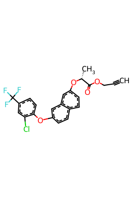 C#CCOC(=O)[C@@H](C)Oc1ccc2ccc(Oc3ccc(C(F)(F)F)cc3Cl)cc2c1